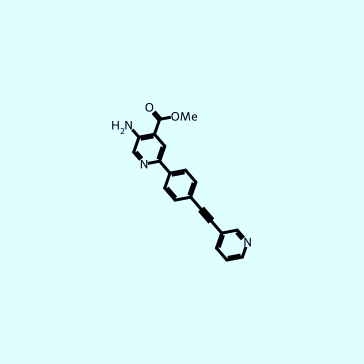 COC(=O)c1cc(-c2ccc(C#Cc3cccnc3)cc2)ncc1N